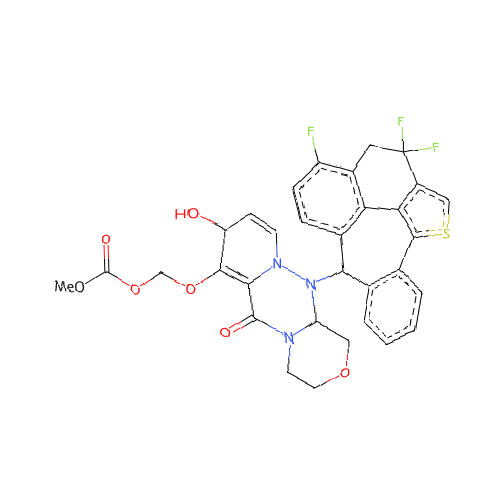 COC(=O)OCOC1=C2C(=O)N3CCOCC3N(C3c4ccccc4-c4scc5c4-c4c3ccc(F)c4CC5(F)F)N2C=CC1O